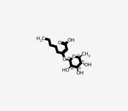 CCCCCC(=CC(=O)O)O[C@H]1O[C@@H](C)[C@H](O)[C@@H](O)[C@H]1O